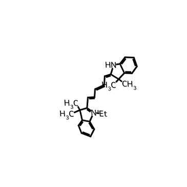 CC[N+]1=C(/C=C/C=C/C=C2/Nc3ccccc3C2(C)C)C(C)(C)c2ccccc21